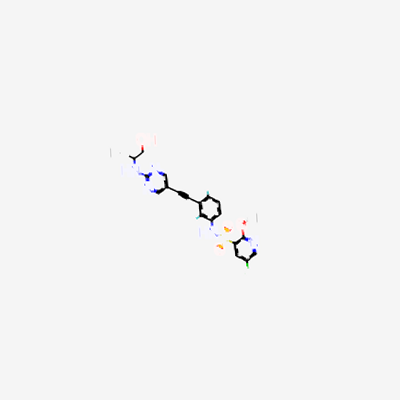 COc1ncc(Cl)cc1S(=O)(=O)Nc1ccc(F)c(C#Cc2cnc(NC(C)CO)nc2)c1F